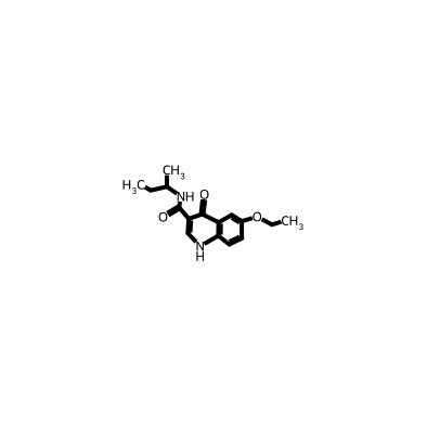 CCOc1ccc2[nH]cc(C(=O)NC(C)CC)c(=O)c2c1